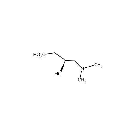 CN(C)C[C@@H](O)CC(=O)O